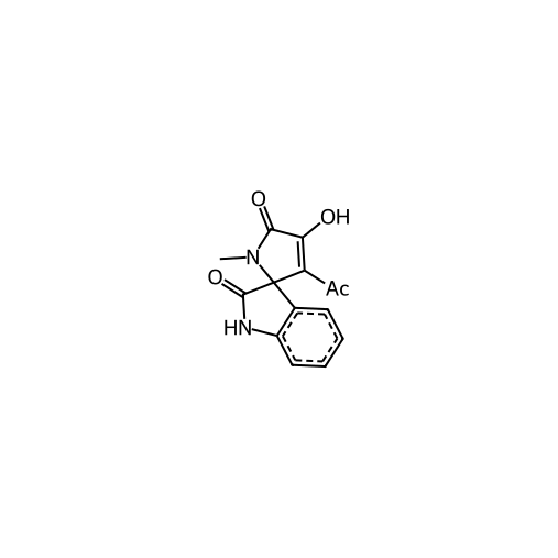 CC(=O)C1=C(O)C(=O)N(C)C12C(=O)Nc1ccccc12